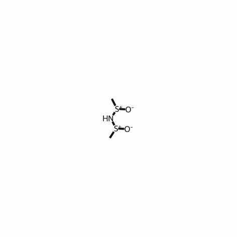 C[S+]([O-])N[S+](C)[O-]